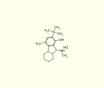 CNC1c2c(O)c(C(C)(C)C)cc(C)c2C2CCCCC21.Cl